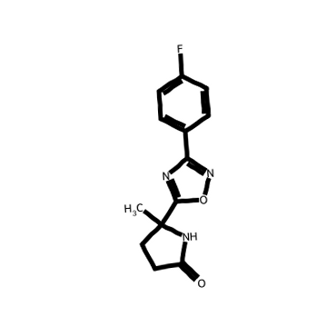 CC1(c2nc(-c3ccc(F)cc3)no2)CCC(=O)N1